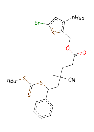 CCCCCCc1cc(Br)sc1COC(=O)CCC(C)(C#N)CC(SC(=S)SCCCC)c1ccccc1